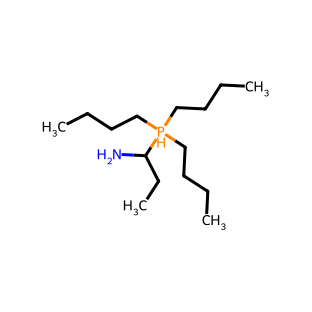 CCCC[PH](CCCC)(CCCC)C(N)CC